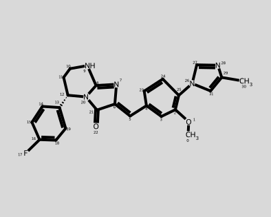 COc1cc(/C=C2\N=C3NCC[C@@H](c4ccc(F)cc4)N3C2=O)ccc1-n1cnc(C)c1